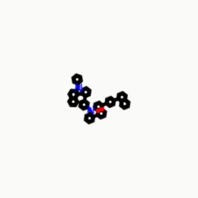 c1ccc(-c2ccccc2N(c2ccc(-c3ccc(-c4cccc5ccccc45)cc3)cc2)c2cccc(-c3cccc4c3c3c5ccccc5ccc3n4-c3ccccc3)c2)cc1